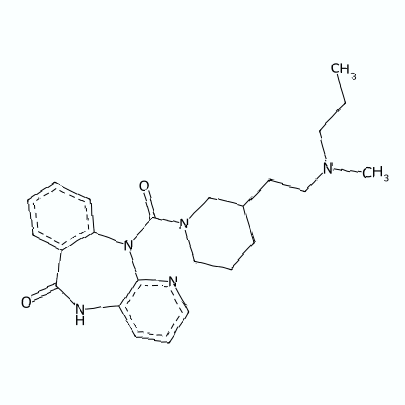 CCCN(C)CCC1CCCN(C(=O)N2c3ccccc3C(=O)Nc3cccnc32)C1